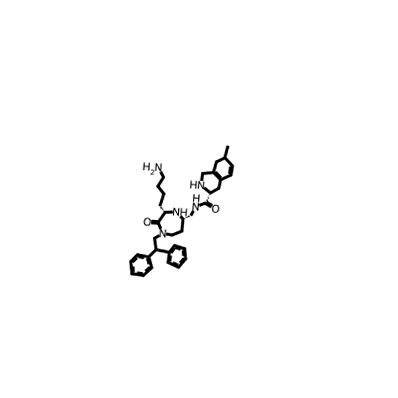 CC1C=CC2=C(CN[C@@H](C(=O)NC[C@@H]3CCN(CC(c4ccccc4)c4ccccc4)C(=O)[C@H](CCCCN)N3)C2)C1